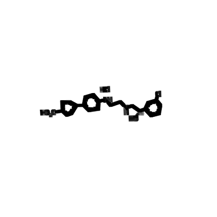 Cl.O=C(O)c1ccc(-c2ccc(NCCNC[C@@H](O)c3cccc(Cl)c3)cc2)cc1